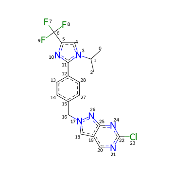 CC(C)n1cc(C(F)(F)F)nc1-c1ccc(Cn2cc3cnc(Cl)nc3n2)cc1